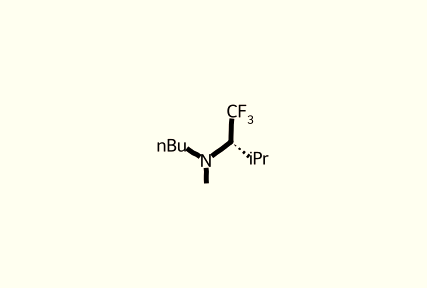 CCCCN(C)[C@@H](C(C)C)C(F)(F)F